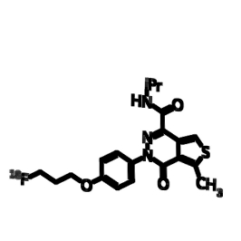 Cc1scc2c(C(=O)NC(C)C)nn(-c3ccc(OCCC[18F])cc3)c(=O)c12